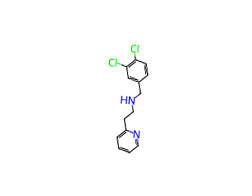 Clc1ccc(CNCCc2ccccn2)cc1Cl